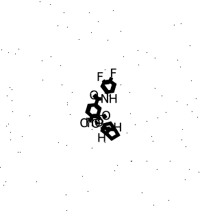 O=C(Nc1ccc(F)c(F)c1)c1ccc(Cl)c(S(=O)(=O)[C@@H]2CC3CC[C@@H](C2)[C@]3(O)CO)c1